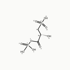 O=C(OP(=O)(O)O)[C@@H](O)CS(=O)(=O)O